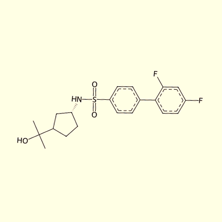 CC(C)(O)C1CC[C@@H](NS(=O)(=O)c2ccc(-c3ccc(F)cc3F)cc2)C1